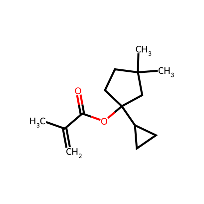 C=C(C)C(=O)OC1(C2CC2)CCC(C)(C)C1